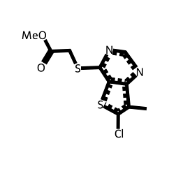 COC(=O)CSc1ncnc2c(C)c(Cl)sc12